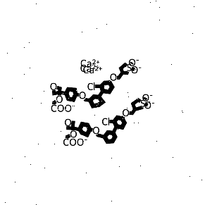 O=C([O-])COC1(c2ccc(OCc3cccc(-c4ccc(OCC5CCS([O-])([O-])C5)cc4Cl)c3)cc2)COC1.O=C([O-])COC1(c2ccc(OCc3cccc(-c4ccc(OCC5CCS([O-])([O-])C5)cc4Cl)c3)cc2)COC1.[Ca+2].[Ca+2].[Ca+2]